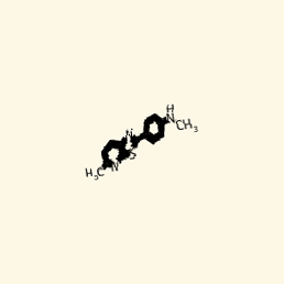 CNc1ccc(-c2nc3ccc(C)nc3s2)cc1